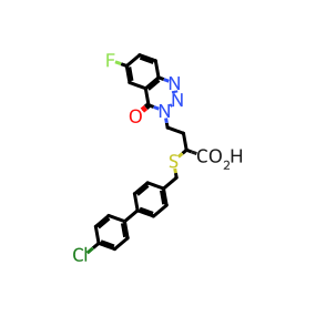 O=C(O)C(CCn1nnc2ccc(F)cc2c1=O)SCc1ccc(-c2ccc(Cl)cc2)cc1